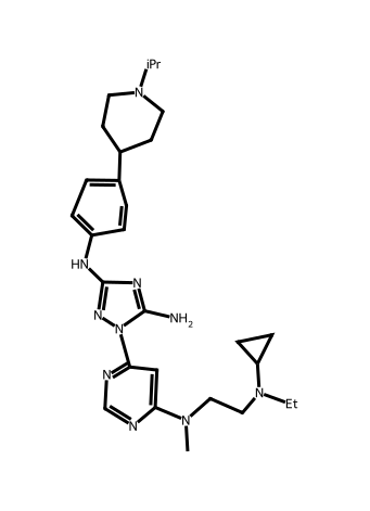 CCN(CCN(C)c1cc(-n2nc(Nc3ccc(C4CCN(C(C)C)CC4)cc3)nc2N)ncn1)C1CC1